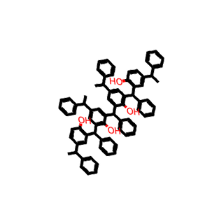 CC(c1ccccc1)c1ccc(O)c(C(c2ccccc2)c2cc(C(C)c3ccccc3)cc(C(c3ccccc3)c3cc(C(C)c4ccccc4)cc(C(c4ccccc4)c4cc(C(C)c5ccccc5)ccc4O)c3O)c2O)c1